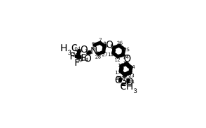 CC(OC(=O)N1CCC(O[C@H]2CC[C@H](Oc3ccc(S(C)(=O)=O)cc3)CC2)CC1)C(F)(F)F